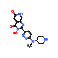 CN(c1ccc(-c2nc3c[nH]c(=O)cc3c(=O)n2O)nn1)C1CCNCC1